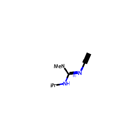 C#C/N=C(\NC)NC(C)C